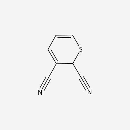 N#CC1=CC=CSC1C#N